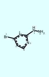 NNc1nccc(Br)n1